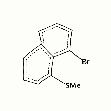 CSc1cccc2cccc(Br)c12